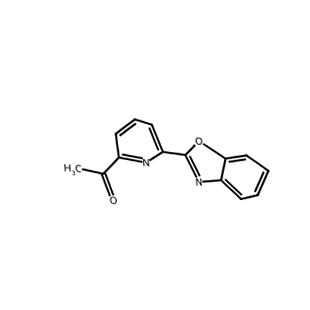 CC(=O)c1cccc(-c2nc3ccccc3o2)n1